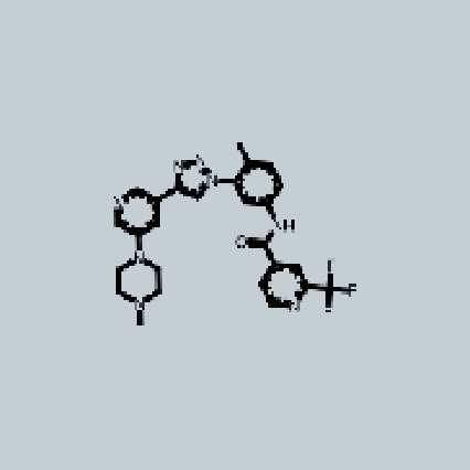 Cc1ccc(NC(=O)c2ccnc(C(F)(F)F)c2)cc1-n1cc(-c2cncc(N3CCN(C)CC3)c2)nn1